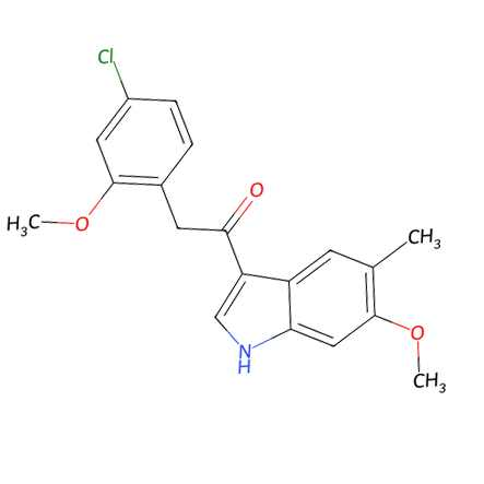 COc1cc2[nH]cc(C(=O)Cc3ccc(Cl)cc3OC)c2cc1C